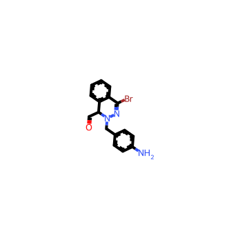 Nc1ccc(CN2N=C(Br)c3ccccc3C2C=O)cc1